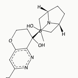 CB(O)N1[C@@H]2CC[C@H]1C[C@H](C1(O)CCOc3cc(Cl)nnc31)C2